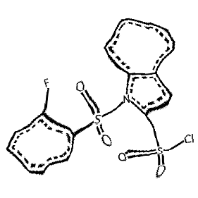 O=S(=O)(Cl)c1cc2ccccc2n1S(=O)(=O)c1ccccc1F